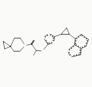 CC(Nc1nnc(C2CC2c2cccc3cn[nH]c23)o1)C(=O)N1CCC2(CC1)CC2